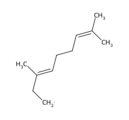 [CH2]CC(C)=CCCC=C(C)C